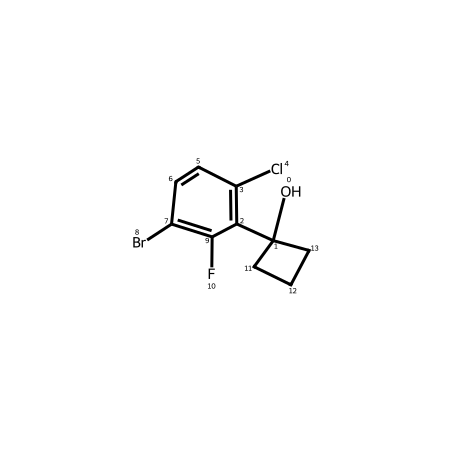 OC1(c2c(Cl)ccc(Br)c2F)CCC1